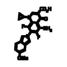 COc1ccc2cn(-c3c(F)c(N)c4c(=O)c(C(=O)O)cn(C5CC5)c4c3F)cc2c1